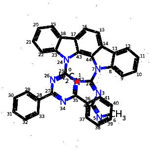 C=N/C(=N\C=N/C)n1c2ccccc2c2ccc3c4ccccc4n(-c4nc(-c5ccccc5)nc(-c5ccccc5)n4)c3c21